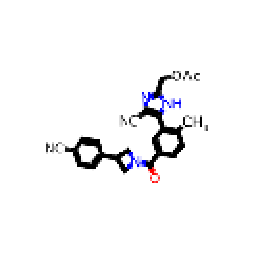 CC(=O)OCc1nc(C#N)c(-c2cc(C(=O)N3CC(c4ccc(C#N)cc4)C3)ccc2C)[nH]1